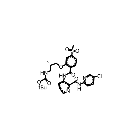 C[C@@H](CNC(=O)OC(C)(C)C)COc1cc(S(C)(=O)=O)ccc1C(=O)Nc1cccnc1C(=O)Nc1ccc(Cl)cn1